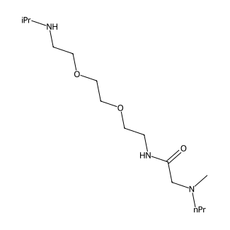 CCCN(C)CC(=O)NCCOCCOCCNC(C)C